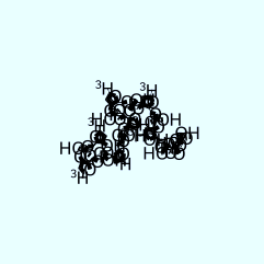 [3H][C@H]1CC(O)[C@@H](COP(=O)(O)OC2C[C@H]([3H])O[C@@H]2COP(=O)(O)OC2C[C@H]([3H])O[C@@H]2COP(=O)(O)OC2C[C@H]([3H])O[C@@H]2COP(=O)(O)OC2C[C@H]([3H])O[C@@H]2COP(=O)(O)OC2C[C@H]([3H])O[C@@H]2COP(=O)(O)OC2C[C@H]([3H])O[C@@H]2COP(=O)(O)OP(=O)(O)OP(=O)(O)O)O1